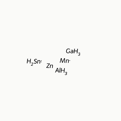 [AlH3].[GaH3].[Mn].[SnH2].[Zn]